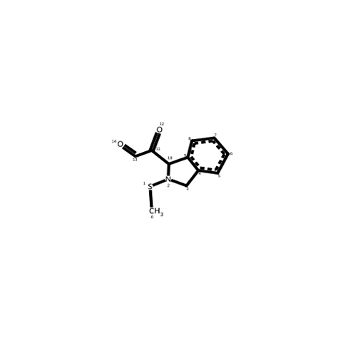 CSN1Cc2ccccc2C1C(=O)C=O